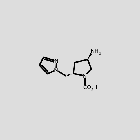 N[C@@H]1C[C@@H](Cn2cccn2)N(C(=O)O)C1